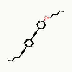 CCCCC#Cc1ccc(C#Cc2ccc(OCCCCC)cc2)cc1